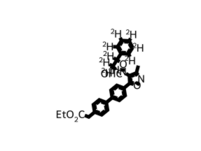 [2H]c1c([2H])c([2H])c(C([2H])(ON(C=O)c2c(C)noc2-c2ccc(-c3ccc(CC(=O)OCC)cc3)cc2)C([2H])([2H])[2H])c([2H])c1[2H]